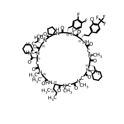 CC[C@H](C)[C@@H]1NC(=O)[C@H](C)N(C)C(=O)C[C@@H](C(=O)N2CCCCC2)N(C)C(=O)[C@H](C(C)C)N(C)C(=O)C2(CCCC2)NC(=O)[C@H](Cc2ccc(F)c(F)c2)N(C)C(=O)[C@H](CCc2ccc(C(F)(F)F)c(Cl)c2)NC(=O)CN(C)C(=O)[C@H](CC2CCCCC2)N(C)C(=O)CN(C)C(=O)CN(C)C1=O